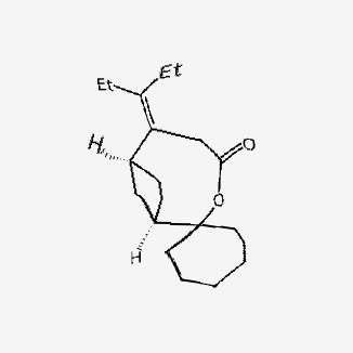 CCC(CC)=C1CC(=O)OC2(CCCCC2)[C@H]2C[C@@H]1C2